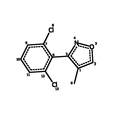 Cc1[c]onc1-c1c(Cl)cccc1Cl